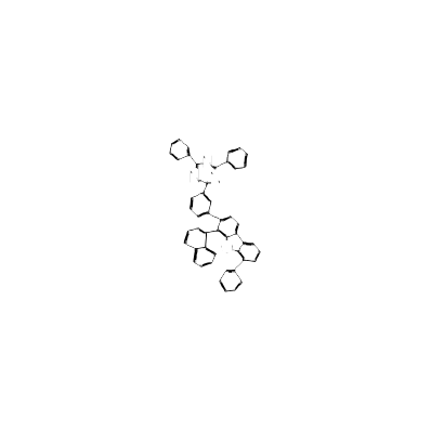 c1ccc(-c2nc(-c3ccccc3)nc(-c3cccc(-c4ccc5c(oc6c(-c7ccccc7)cccc65)c4-c4cccc5ccccc45)c3)n2)cc1